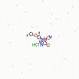 C#Cc1cc(Nc2ncnc3cc(OC)cc(OC4CCN(C)CC4)c23)ccc1OCc1cccc(F)c1.Cl